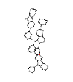 c1ccc(-c2cccc(-c3c(-c4ccc5c(c4)oc4ccccc45)cccc3N(c3cccc(-c4ccc5c6ccccc6n(-c6ccccc6)c5c4)c3)c3ccccc3-c3ccccc3)c2)cc1